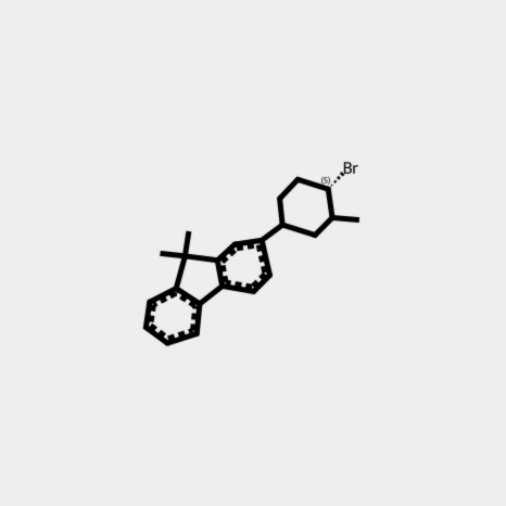 CC1CC(c2ccc3c(c2)C(C)(C)c2ccccc2-3)CC[C@@H]1Br